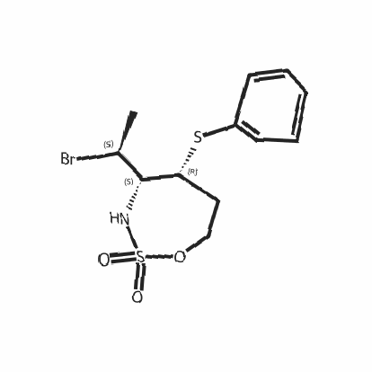 C[C@H](Br)[C@H]1NS(=O)(=O)OCC[C@H]1Sc1ccccc1